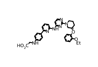 CCOc1ccccc1O[C@@H]1CCCN(c2nccc(Nc3cccc(-c4ccc(NCC(=O)O)cc4)n3)n2)C1